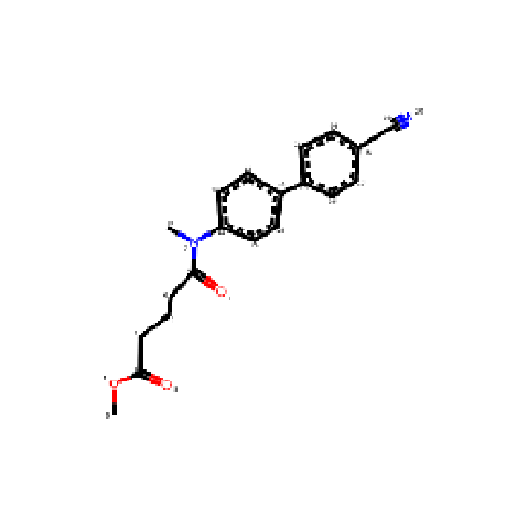 COC(=O)CCCC(=O)N(C)c1ccc(-c2ccc(C#N)cc2)cc1